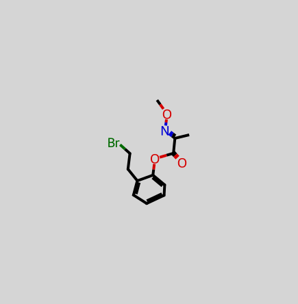 CON=C(C)C(=O)Oc1ccccc1CCBr